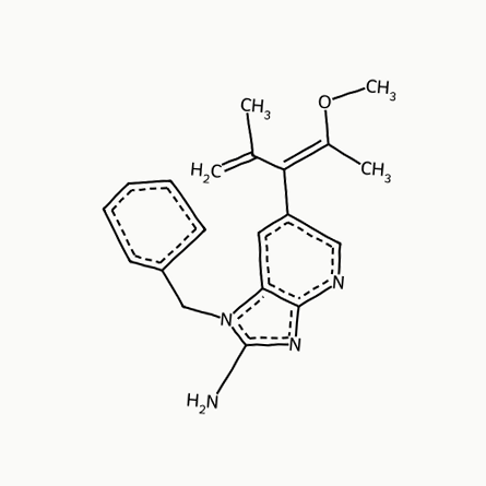 C=C(C)/C(=C(/C)OC)c1cnc2nc(N)n(Cc3ccccc3)c2c1